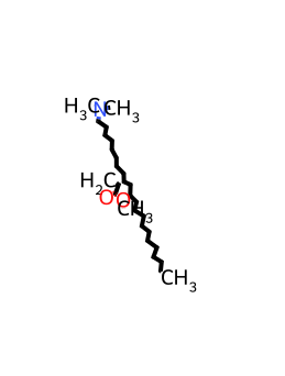 C=CC(=O)OC.CCCCCCCCCCCCCCCCCCCCCCN(C)C